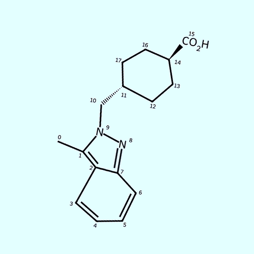 Cc1c2ccccc2nn1C[C@H]1CC[C@H](C(=O)O)CC1